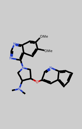 COc1cc2ncnc(N3CC(Oc4cnc5ccccc5c4)C(N(C)C)C3)c2cc1OC